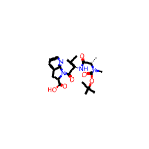 CC(C)[C@H](NC(=O)[C@H](C)N(C)C(=O)OC(C)(C)C)C(=O)N1c2ncccc2CC1C(=O)O